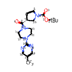 CC(C)(C)OC(=O)N1CC[C@@H](C(=O)N2CCN(c3ncc(C(F)(F)F)cn3)CC2)C1